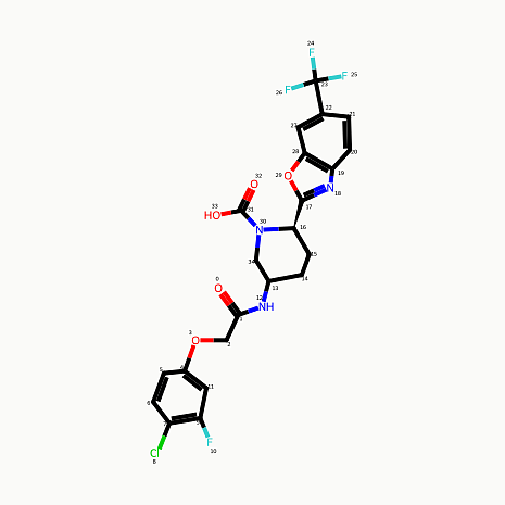 O=C(COc1ccc(Cl)c(F)c1)NC1CC[C@H](c2nc3ccc(C(F)(F)F)cc3o2)N(C(=O)O)C1